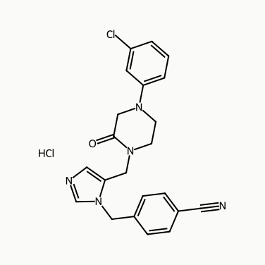 Cl.N#Cc1ccc(Cn2cncc2CN2CCN(c3cccc(Cl)c3)CC2=O)cc1